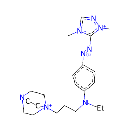 CCN(CCC[N+]12CCN(CC1)CC2)c1ccc(/N=N/c2n(C)cn[n+]2C)cc1